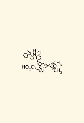 C[C@@H]1CN([C@H]2CC(c3ncc(CCC(=O)O)s3)N(C(=O)Cc3cc(Cl)c(NC(=O)c4csc5ccccc45)cc3Cl)C2)C[C@H](C)O1